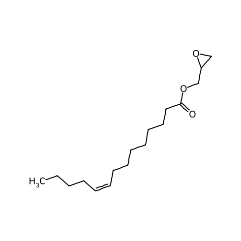 CCCC/C=C\CCCCCCCC(=O)OCC1CO1